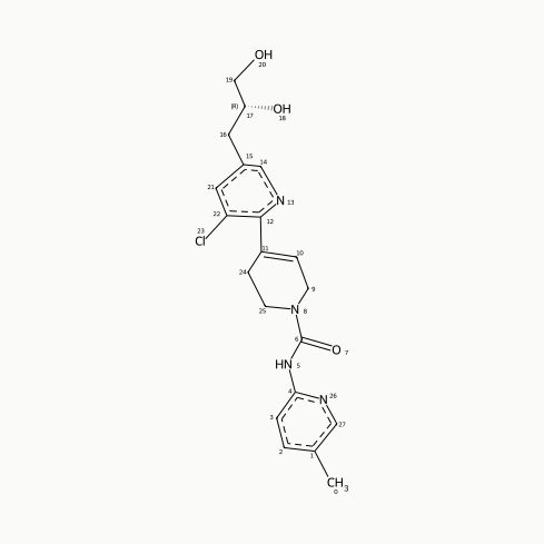 Cc1ccc(NC(=O)N2CC=C(c3ncc(C[C@@H](O)CO)cc3Cl)CC2)nc1